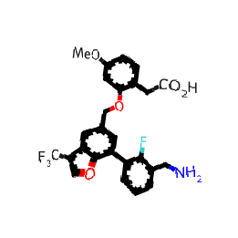 COc1ccc(CC(=O)O)c(OCc2cc(-c3cccc(CN)c3F)c3occ(C(F)(F)F)c3c2)c1